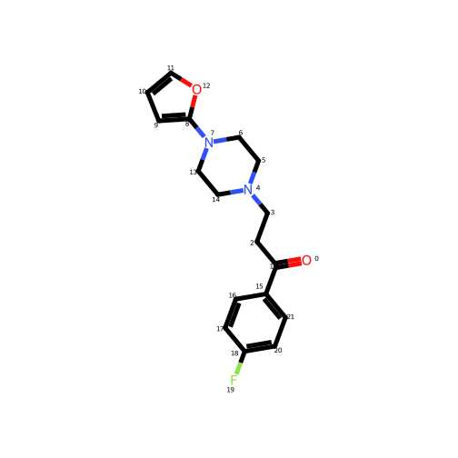 O=C(CCN1CCN(c2ccco2)CC1)c1ccc(F)cc1